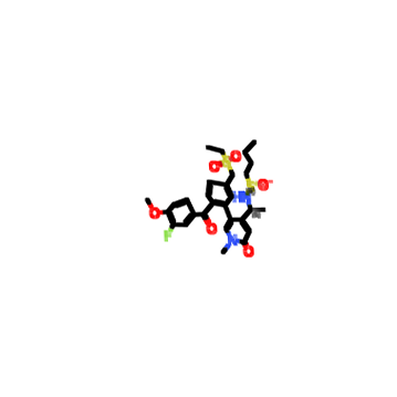 CCCC[S@+]([O-])N[C@@H](C)c1cc(=O)n(C)cc1-c1cc(CS(=O)(=O)CC)ccc1C(=O)c1ccc(OC)c(F)c1